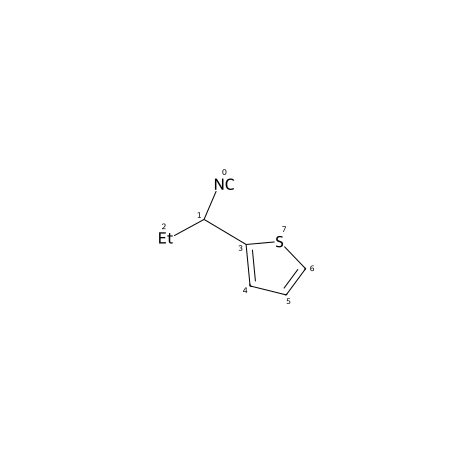 [C-]#[N+]C(CC)c1cccs1